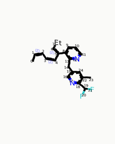 C\C=C/C=C\C(=C\CC)c1cccnc1Cc1cnc(C(F)F)c(C)c1